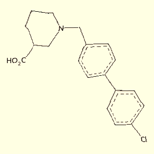 O=C(O)C1CCCN(Cc2ccc(-c3ccc(Cl)cc3)cc2)C1